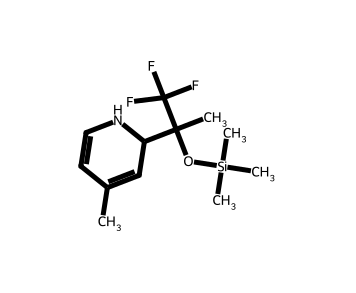 CC1=CC(C(C)(O[Si](C)(C)C)C(F)(F)F)NC=C1